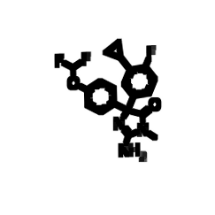 CN1C(=O)C(c2ccc(OC(F)F)cc2)(c2ccc(F)c(C3CC3)c2)N=C1N